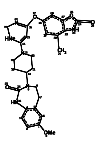 COc1ccc2c(c1)CCN(C1CCN(C3=CC(Oc4cc(C)c5[nH]c(=O)oc5c4)=NCN3)CC1)C(=O)N2